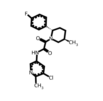 Cc1ncc(NC(=O)C(=O)N2C[C@H](C)CC[C@H]2c2ccc(F)cc2)cc1Cl